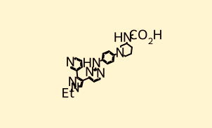 CCn1cc(-c2ccnc(Nc3ccc(N4CCCC(NC(=O)O)C4)cc3)n2)c(-c2cccnc2)n1